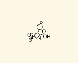 O=C(O)c1ncc([N+](=O)[O-])cc1C1=CCC2(CC1)CC2